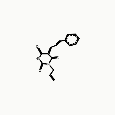 C=CCN1C(=O)NC(=O)/C(=C/C=C/c2ccccc2)C1=O